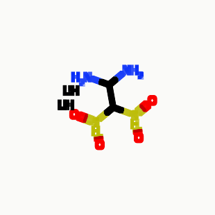 NC(N)C([SH](=O)=O)[SH](=O)=O.[LiH].[LiH]